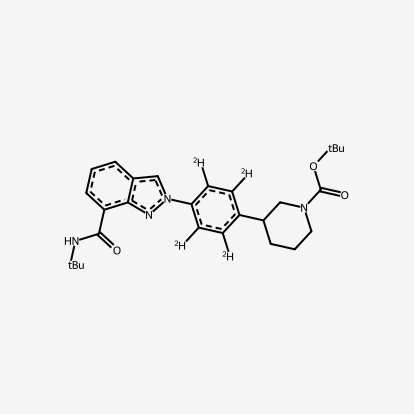 [2H]c1c([2H])c(-n2cc3cccc(C(=O)NC(C)(C)C)c3n2)c([2H])c([2H])c1C1CCCN(C(=O)OC(C)(C)C)C1